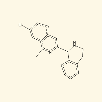 Cc1nc(C2NCCc3ccccc32)cc2ccc(Cl)cc12